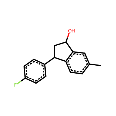 Cc1ccc2c(c1)C(O)CC2c1ccc(F)cc1